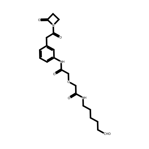 O=CCCCCCNC(=O)COCC(=O)Nc1cccc(CC(=O)N2CCC2=O)c1